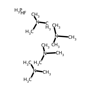 CN(C)C.CN(C)C.CN(C)C.CN(C)C.F.P